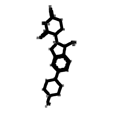 CC(C)N1CCC(c2ccc3c(c2)CN(C2CCC(=O)NC2=O)C3O)CC1